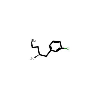 CC(C)(C)CC[C@@H](Cc1cccc(Cl)c1)C(C)(C)C